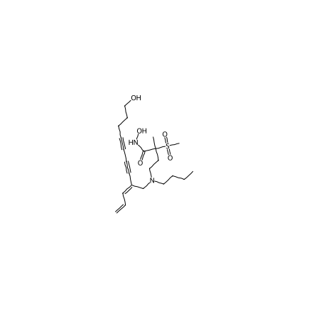 C=C/C=C(/C#CC#CCCCO)CN(CCCC)CCC(C)(C(=O)NO)S(C)(=O)=O